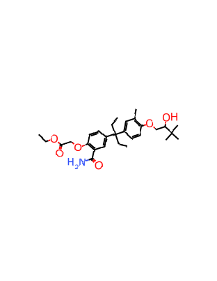 CCOC(=O)COc1ccc(C(CC)(CC)c2ccc(OCC(O)C(C)(C)C)c(C)c2)cc1C(N)=O